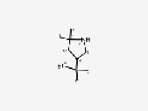 CCC(C)(C)C1CNC(C)(C)C1